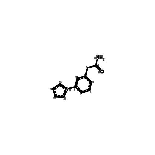 NC(=O)Cc1cccc(-n2cccc2)c1